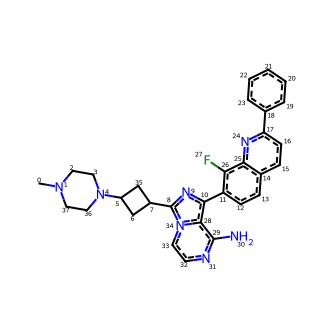 CN1CCN(C2CC(c3nc(-c4ccc5ccc(-c6ccccc6)nc5c4F)c4c(N)nccn34)C2)CC1